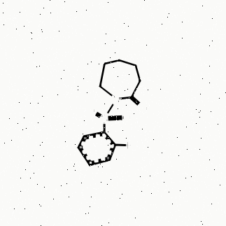 O=C1CCCCCN1S(=O)(=O)c1ccccc1F